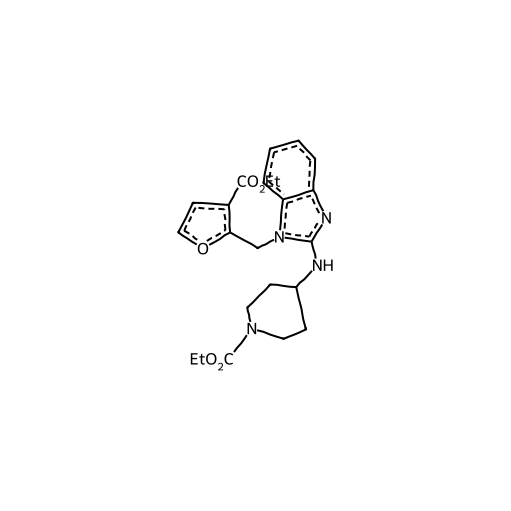 CCOC(=O)c1ccoc1Cn1c(NC2CCN(C(=O)OCC)CC2)nc2ccccc21